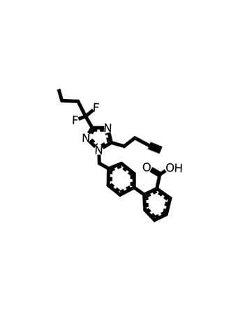 C#CCCc1nc(C(F)(F)CCC)nn1Cc1ccc(-c2ccccc2C(=O)O)cc1